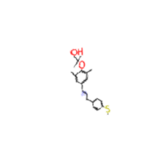 CSc1ccc(C/C=C/c2cc(C)c(OC(C)(C)CO)c(C)c2)cc1